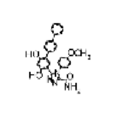 COc1ccc(-n2c(C(N)=O)nnc2-c2cc(-c3ccc(-c4ccccc4)cc3)c(O)cc2O)cc1